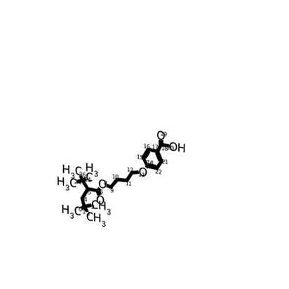 CC(C)(C)CC(C(=O)OCCCCOc1ccc(C(=O)O)cc1)C(C)(C)C